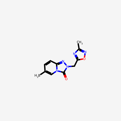 Bc1ccc2nn(Cc3nc(C)no3)c(=O)n2c1